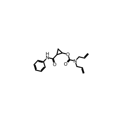 C=CCN(CC=C)C(=O)OC1CC1C(=O)Nc1ccccc1